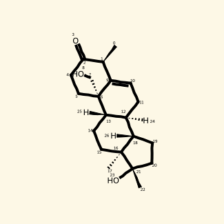 C[C@@H]1C(=O)CC[C@@]2(CO)C1=CC[C@@H]1[C@@H]2CC[C@@]2(C)[C@H]1CC[C@]2(C)O